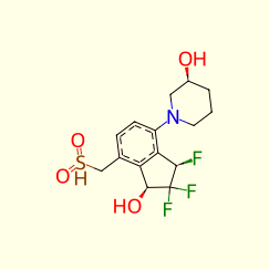 O=[SH](=O)Cc1ccc(N2CCC[C@H](O)C2)c2c1[C@H](O)C(F)(F)[C@@H]2F